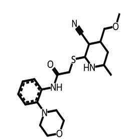 COCC1CC(C)NC(SCC(=O)Nc2ccccc2N2CCOCC2)C1C#N